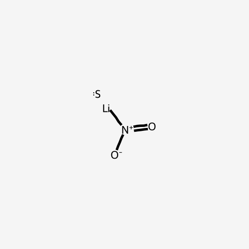 [Li][N+](=O)[O-].[S]